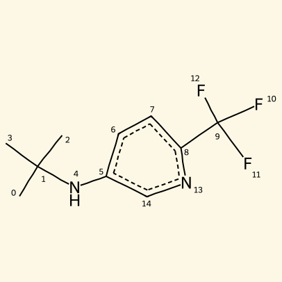 CC(C)(C)Nc1ccc(C(F)(F)F)nc1